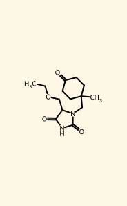 CCOCC1C(=O)NC(=O)N1CC1(C)CCC(=O)CC1